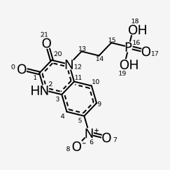 O=c1[nH]c2cc([N+](=O)[O-])ccc2n(CCCP(=O)(O)O)c1=O